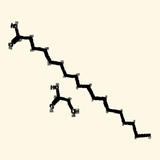 CCCCCCCCCCCCCCCCCC(=O)O.O=C(O)CO